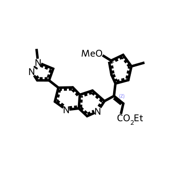 CCOC(=O)/C=C(/c1cc(C)cc(OC)c1)c1cc2cc(-c3cnn(C)c3)cnc2cn1